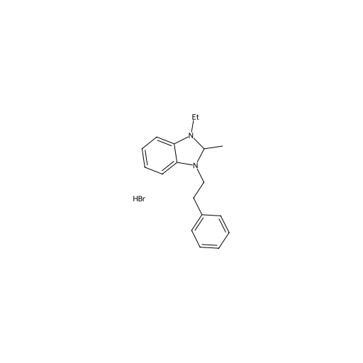 Br.CCN1c2ccccc2N(CCc2ccccc2)C1C